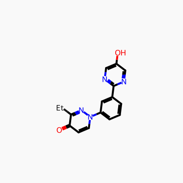 CCc1nn(-c2cccc(-c3ncc(O)cn3)c2)ccc1=O